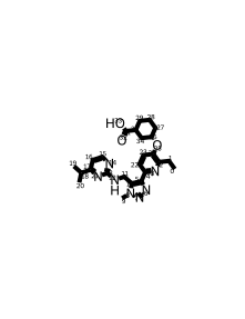 CCc1nc(-c2nnn(C)c2CNc2nccc(C(C)C)n2)ccc1O[C@H]1CCCC(C(=O)O)C1